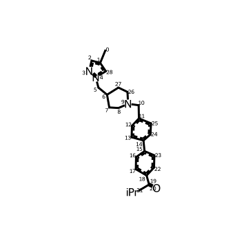 Cc1cnn(CC2CCN(Cc3ccc(-c4ccc(C(=O)C(C)C)cc4)cc3)CC2)c1